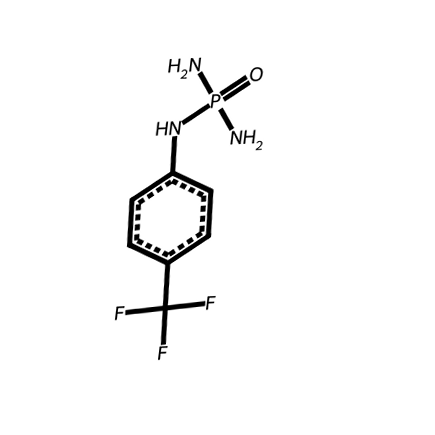 NP(N)(=O)Nc1ccc(C(F)(F)F)cc1